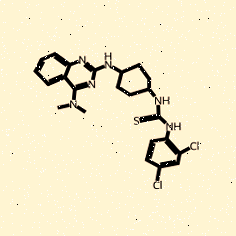 CN(C)c1nc(NC2CCC(NC(=S)Nc3ccc(Cl)cc3Cl)CC2)nc2ccccc12